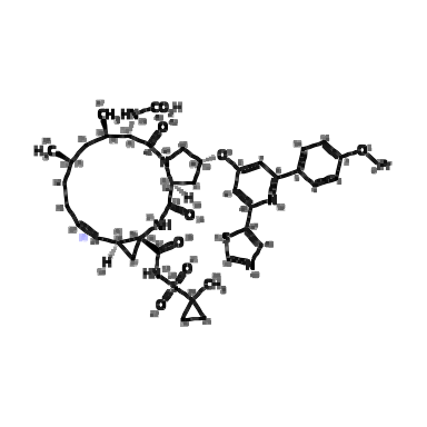 CC(C)Oc1ccc(-c2cc(O[C@@H]3C[C@H]4C(=O)N[C@]5(C(=O)NS(=O)(=O)C6(C)CC6)C[C@H]5/C=C\CC[C@@H](C)C[C@@H](C)[C@H](NC(=O)O)C(=O)N4C3)cc(-c3cncs3)n2)cc1